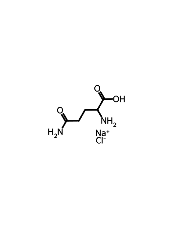 NC(=O)CCC(N)C(=O)O.[Cl-].[Na+]